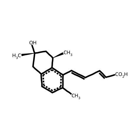 Cc1ccc2c(c1/C=C/C=C/C(=O)O)[C@H](C)C[C@@](C)(O)C2